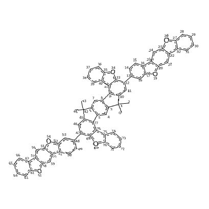 CC1(C)c2cc3c(cc2-c2c1cc(-c1ccc4c(c1)oc1cc5c(cc14)oc1ccccc15)c1oc4ccccc4c21)C(C)(C)c1cc(-c2ccc4c(c2)oc2cc5c(cc24)oc2ccccc25)c2oc4ccccc4c2c1-3